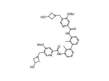 COc1cc(C(=O)Nc2cccc(-c3cccc(NC(=O)c4cc(OC)c(CN5CC(O)C5)cn4)c3C)c2C)ncc1CN1CC(O)C1